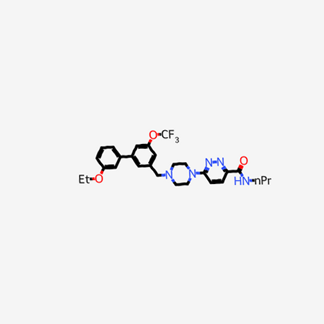 CCCNC(=O)c1ccc(N2CCN(Cc3cc(OC(F)(F)F)cc(-c4cccc(OCC)c4)c3)CC2)nn1